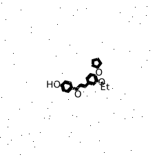 CCOc1cc(/C=C/C(=O)c2ccc(O)cc2)ccc1OC1CCCC1